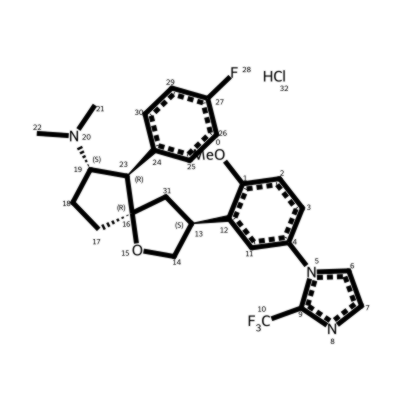 COc1ccc(-n2ccnc2C(F)(F)F)cc1[C@H]1CO[C@]2(CC[C@H](N(C)C)[C@H]2c2ccc(F)cc2)C1.Cl